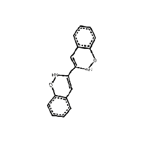 C1=C(C2=Cc3ccccc3ON2)NOc2ccccc21